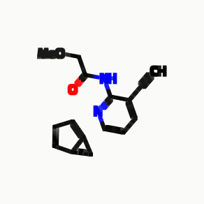 C#Cc1cccnc1NC(=O)COC.c1cc2cc-2c1